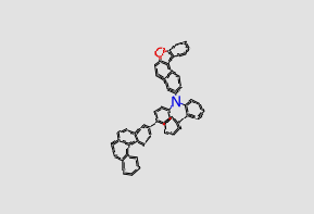 c1ccc(-c2ccccc2N(c2ccc(-c3ccc4c(ccc5ccc6ccccc6c54)c3)cc2)c2ccc3c(ccc4oc5ccccc5c43)c2)cc1